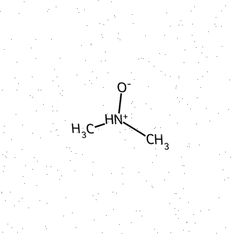 C[NH+](C)[O-]